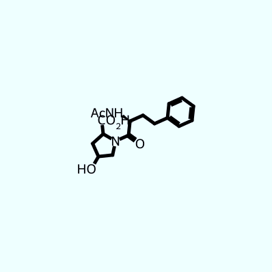 CC(=O)N[C@@H](CCc1ccccc1)C(=O)N1CC(O)CC1C(=O)O